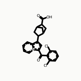 O=C(c1c(Cl)cccc1Cl)c1cc(C2CC3CC2CC3C(=O)O)c2ccccn12